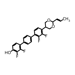 C/C=C/C1OCC(c2ccc(-c3ccc(-c4ccc(O)c(F)c4F)cc3)c(F)c2F)CO1